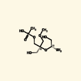 B[C@@H](CO)O[C@](CO)(COC)COP(C)(=O)O